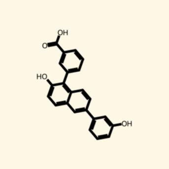 O=C(O)c1cccc(-c2c(O)ccc3cc(-c4cccc(O)c4)ccc23)c1